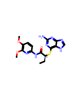 CC[C@H](Sc1nc(N)nc2nc[nH]c12)C(=O)Nc1ccc(OC)c(OC)n1